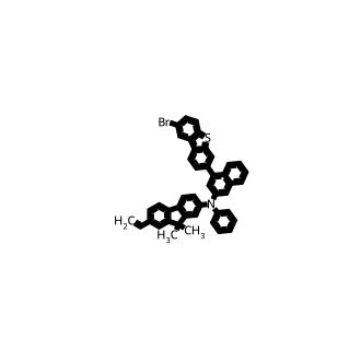 C=Cc1ccc2c(c1)C(C)(C)c1cc(N(c3ccccc3)c3cc(-c4ccc5c(c4)sc4ccc(Br)cc45)c4ccccc4c3)ccc1-2